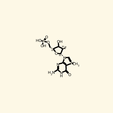 C[n+]1cn([C@@H]2O[C@H](COP(=O)(O)O)C(O)[C@H]2F)c2nc(N)[nH]c(=O)c21